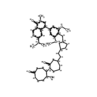 COc1cc(-c2cn(C)c(=O)c3cnc(N(C)C)cc23)cc(OC)c1CN1CCC(CCC2CCCN(C3CCC(=O)CCCC3O)C(=O)C2)C1